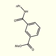 CCCNC(=O)c1cccc(C(=O)OC)c1